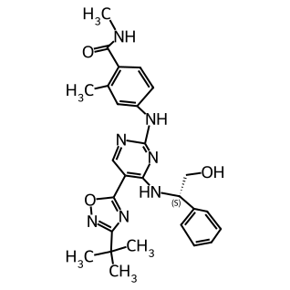 CNC(=O)c1ccc(Nc2ncc(-c3nc(C(C)(C)C)no3)c(N[C@H](CO)c3ccccc3)n2)cc1C